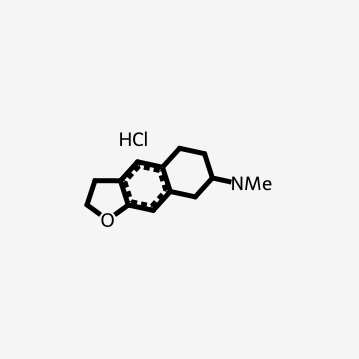 CNC1CCc2cc3c(cc2C1)OCC3.Cl